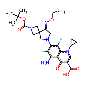 CCON=C1CN(c2c(F)c(N)c3c(=O)c(C(=O)O)cn(C4CC4)c3c2F)CC12CN(C(=O)OC(C)(C)C)C2